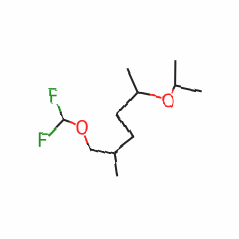 CC(CCC(C)OC(C)C)COC(F)F